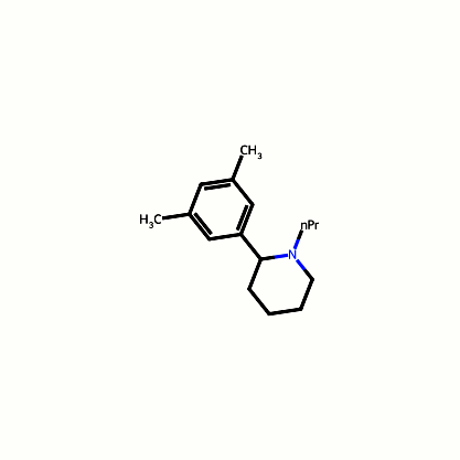 CCCN1CCCCC1c1cc(C)cc(C)c1